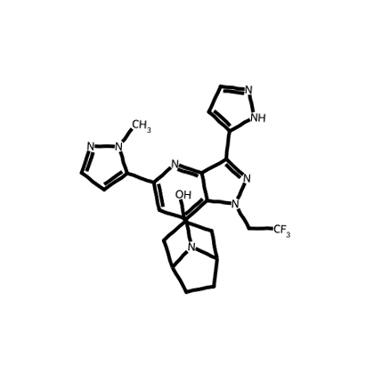 Cn1nccc1-c1cc(N2C3CCC2CC(O)C3)c2c(n1)c(-c1ccn[nH]1)nn2CC(F)(F)F